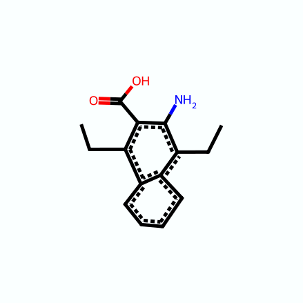 CCc1c(N)c(C(=O)O)c(CC)c2ccccc12